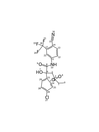 CCS(=O)(=O)CC(O)(C(=O)Nc1ccc(C#N)c(C(F)(F)F)c1)c1ccc(Cl)cc1